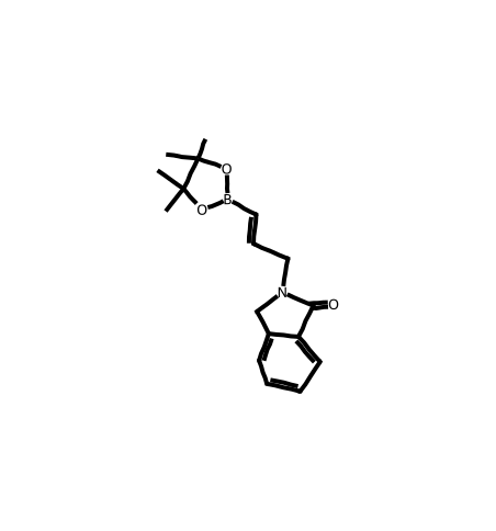 CC1(C)OB(/C=C/CN2Cc3ccccc3C2=O)OC1(C)C